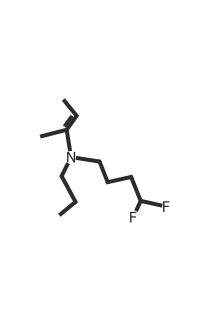 C/C=C(\C)N(CCC)CCCC(F)F